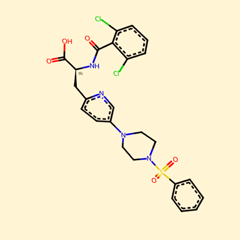 O=C(N[C@@H](Cc1ccc(N2CCN(S(=O)(=O)c3ccccc3)CC2)cn1)C(=O)O)c1c(Cl)cccc1Cl